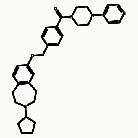 O=C(c1ccc(COc2ccc3c(c2)CCN(C2CCCC2)CC3)cc1)N1CCN(c2ccncc2)CC1